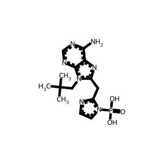 CC(C)(C)Cn1c(Cc2nccn2P(=O)(O)O)nc2c(N)ncnc21